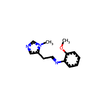 COc1ccccc1N=CCc1cncn1C